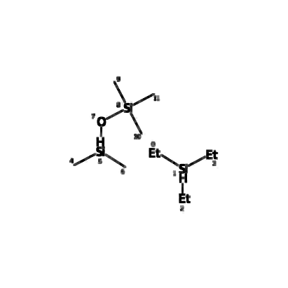 CC[SiH](CC)CC.C[SiH](C)O[Si](C)(C)C